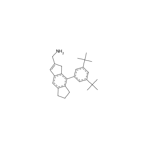 CC(C)(C)c1cc(-c2c3c(cc4c2CCC4)C=C(CN)C3)cc(C(C)(C)C)c1